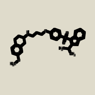 COc1ccc2c(c1)CC(NCCCOc1ccc(S(=O)(=O)c3c(C(C)C)cn4ccccc34)cc1)CC2